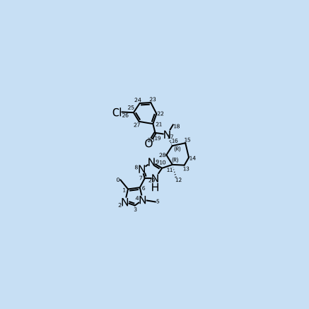 Cc1ncn(C)c1-c1nnc([C@]2(C)CCC[C@@H](N(C)C(=O)c3cccc(Cl)c3)C2)[nH]1